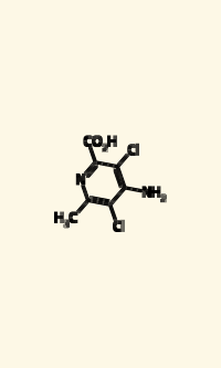 Cc1nc(C(=O)O)c(Cl)c(N)c1Cl